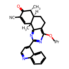 CC(C)Oc1nc(-c2ccnc3ccccc23)nc2c1CC[C@@H]1[C@@H](C)C(=O)C(C#N)=C[C@@]21C